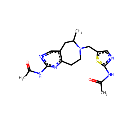 CC(=O)Nc1ncc2c(n1)CCN(Cc1cnc(NC(C)=O)s1)C(C)C2